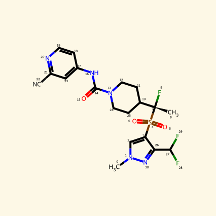 Cn1cc(S(=O)(=O)[C@@](C)(F)C2CCN(C(=O)Nc3ccnc(C#N)c3)CC2)c(C(F)F)n1